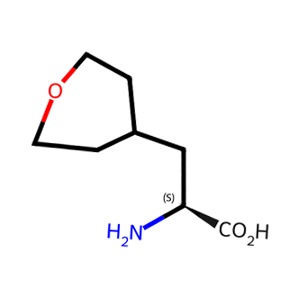 N[C@@H](CC1CCOCC1)C(=O)O